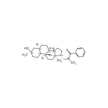 CN(C[C@H]1CC[C@H]2[C@@H]3CC[C@@H]4C[C@](C)(O)CC[C@@H]4[C@H]3CC[C@]12C)C(=O)c1ccccc1